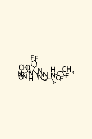 Cc1nonc1C(=O)N[C@H](c1cn2ccc(C(NC(=O)C[C@H](C)C(F)F)C3CC3)nc2n1)C1CCC(F)(F)CC1